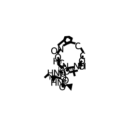 CC[C@@H]1C[C@]1(NC(=O)[C@@H]1C[C@@H]2CN1C(=O)[C@H](C(C)(C)C)NC(=O)OCCCCCc1cccc3c1CN(C3)C(=O)O2)C(=O)NS(=O)(=O)C1CC1